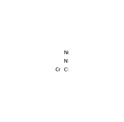 [C].[Cr].[N].[Ni]